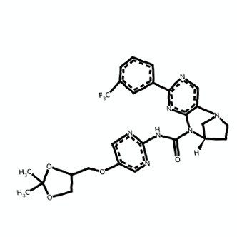 CC1(C)OCC(COc2cnc(NC(=O)N3c4nc(-c5cccc(C(F)(F)F)c5)ncc4N4CC[C@H]3C4)nc2)O1